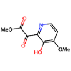 COC(=O)C(=O)c1nccc(OC)c1O